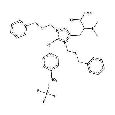 COC(=O)C(Cc1cn(COCc2ccccc2)c([Se]c2ccc([N+](=O)[O-])cc2)[n+]1COCc1ccccc1)N(C)C.F[B-](F)(F)F